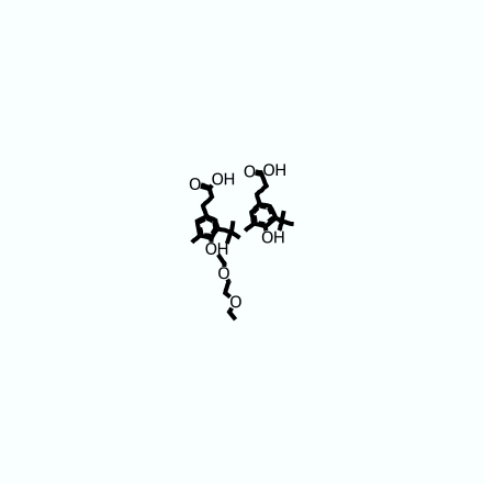 CCOCCOCC.Cc1cc(CCC(=O)O)cc(C(C)(C)C)c1O.Cc1cc(CCC(=O)O)cc(C(C)(C)C)c1O